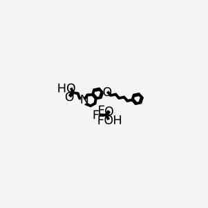 O=C(O)C(F)(F)F.O=C(O)CCN1CCCc2cc(OCCCCCc3ccccc3)ccc2C1